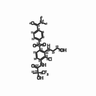 CN(C)C(=O)c1ccc(S(=O)(=O)c2ccc(NC(=O)C(C)(O)C(F)(F)F)c(Cl)c2NCCO)cc1